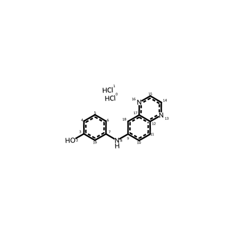 Cl.Cl.Oc1cccc(Nc2ccc3nccnc3c2)c1